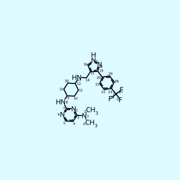 CN(C)c1ccnc(NC2CCC(NCc3c[nH]nc3-c3ccc(C(F)(F)F)cc3)CC2)n1